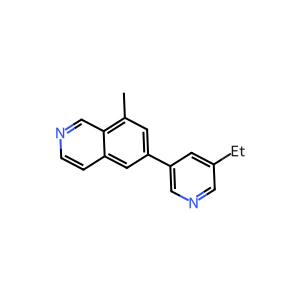 CCc1cncc(-c2cc(C)c3cnccc3c2)c1